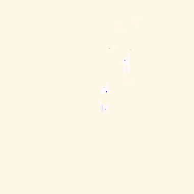 COc1ccc(NCC(O)CN2CCN(CCCC(c3ccc(F)cc3)c3ccc(F)cc3)CC2)c(OC)c1OC